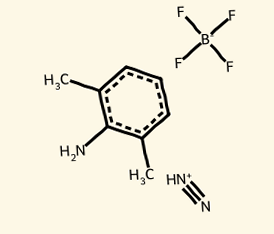 Cc1cccc(C)c1N.F[B-](F)(F)F.N#[NH+]